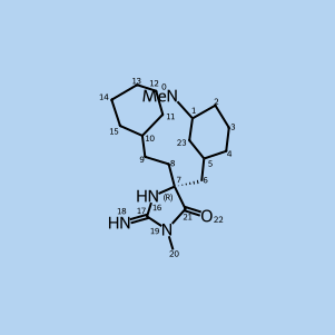 CNC1CCCC(C[C@@]2(CCC3CCCCC3)NC(=N)N(C)C2=O)C1